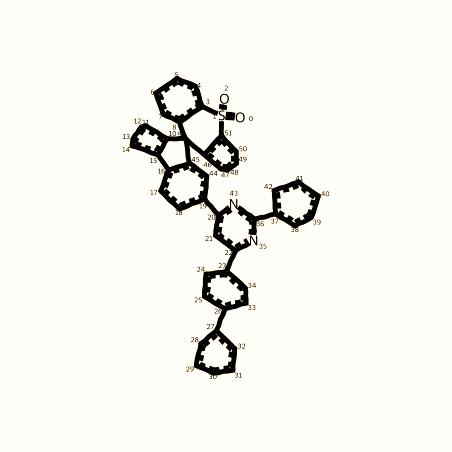 O=S1(=O)c2ccccc2C2(c3ccccc3-c3ccc(-c4cc(-c5ccc(-c6ccccc6)cc5)nc(-c5ccccc5)n4)cc32)c2ccccc21